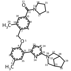 Cc1ccc(OCc2ccc(C(=O)N3CCCC3)cc2C)c(-c2csc(N3CC4CCC(C4)C3)n2)c1